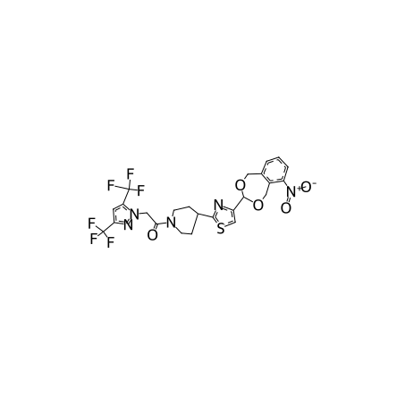 O=C(Cn1nc(C(F)(F)F)cc1C(F)(F)F)N1CCC(c2nc(C3OCc4cccc([N+](=O)[O-])c4CO3)cs2)CC1